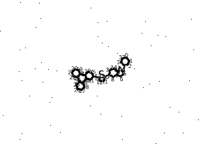 c1ccc(-n2ccc3cc(-c4ccc(-c5ccc6c7ccccc7c7ccccc7c6c5)s4)ccc32)cc1